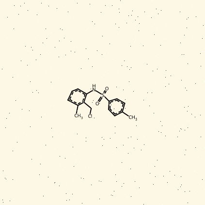 Cc1ccc(S(=O)(=O)Nc2cccc(C)c2CCl)cc1